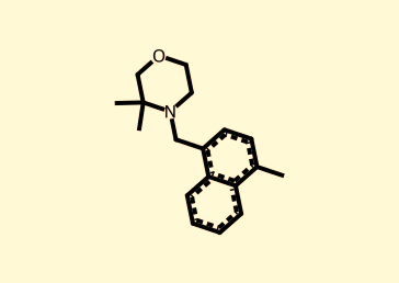 Cc1ccc(CN2CCOCC2(C)C)c2ccccc12